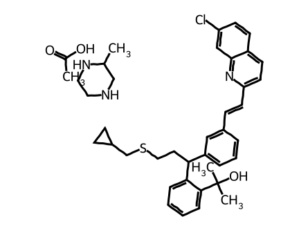 CC(=O)O.CC(C)(O)c1ccccc1C(CCSCC1CC1)c1cccc(C=Cc2ccc3ccc(Cl)cc3n2)c1.CC1CNCCN1